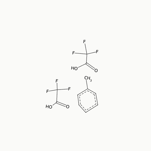 Cc1ccccc1.O=C(O)C(F)(F)F.O=C(O)C(F)(F)F